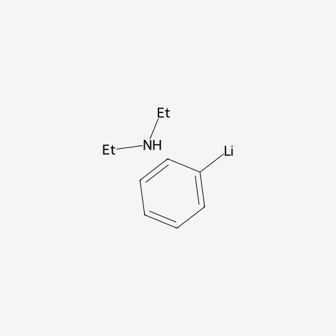 CCNCC.[Li][c]1ccccc1